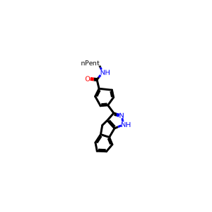 CCCCCNC(=O)c1ccc(-c2n[nH]c3c2Cc2ccccc2-3)cc1